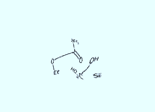 CCOC(N)=O.O=C(O)O.[Si]